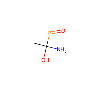 CC(N)(O)P=O